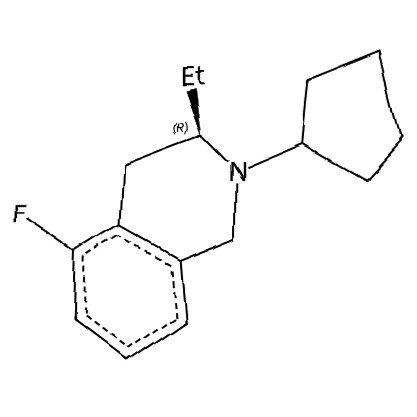 CC[C@@H]1Cc2c(F)cccc2CN1C1CCCC1